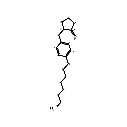 CCCCCCCCc1ccc(CC2CCCC2=O)cc1